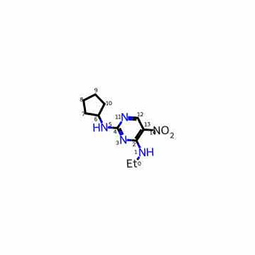 [CH2]CNc1nc(NC2CCCC2)ncc1[N+](=O)[O-]